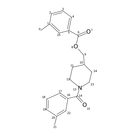 Cc1cccc(C(=O)OCC2CCN(C(=O)c3cccc(C)c3)CC2)c1